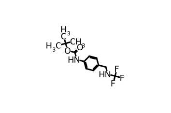 CC(C)(C)OC(=O)Nc1ccc(CNC(F)(F)F)cc1